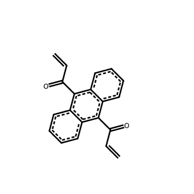 C=CC(=O)c1c2ccccc2c(C(=O)C=C)c2ccccc12